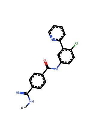 CCCNC(=N)c1ccc(C(=O)Nc2ccc(Cl)c(-c3ccccn3)c2)cc1